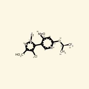 CCn1nc(C(=O)O)c(Cl)c1-c1cnc(O[C@H](C)C(F)(F)F)cc1OC